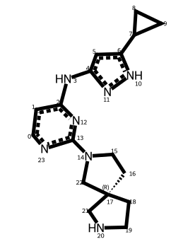 c1cc(Nc2cc(C3CC3)[nH]n2)nc(N2CC[C@@]3(CCNC3)C2)n1